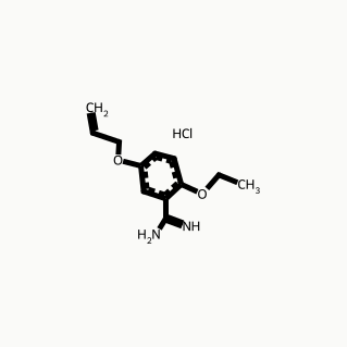 C=CCOc1ccc(OCC)c(C(=N)N)c1.Cl